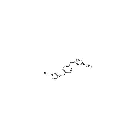 Cn1cc[n+](Cc2ccc(C[n+]3ccn(C)c3)cc2)c1